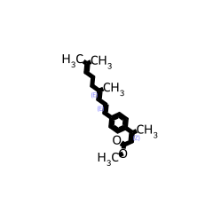 COC(=O)/C=C(/C)c1ccc(/C=C/C=C(\C)CCC=C(C)C)cc1